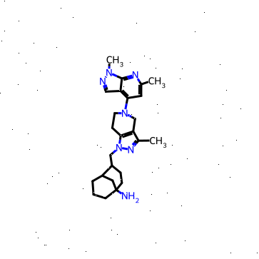 Cc1cc(N2CCc3c(c(C)nn3CC3CCC4(N)CCCC3C4)C2)c2cnn(C)c2n1